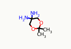 CC1(C)OCC(N)(N)CO1